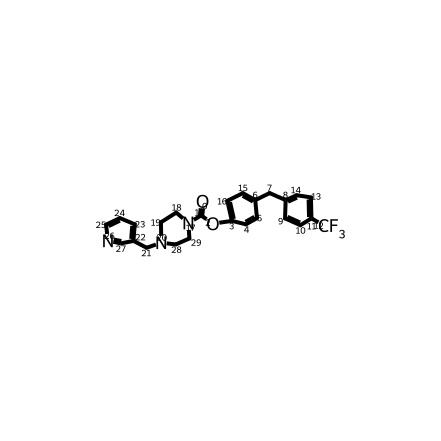 O=C(Oc1ccc(Cc2ccc(C(F)(F)F)cc2)cc1)N1CCN(Cc2cccnc2)CC1